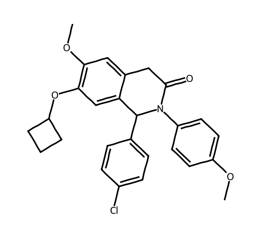 COc1ccc(N2C(=O)Cc3cc(OC)c(OC4CCC4)cc3C2c2ccc(Cl)cc2)cc1